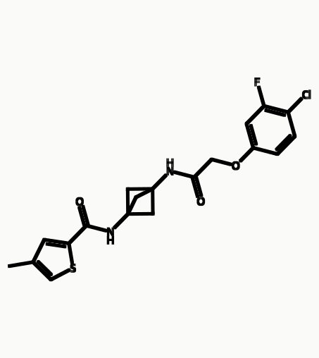 Cc1csc(C(=O)NC23CC(NC(=O)COc4ccc(Cl)c(F)c4)(C2)C3)c1